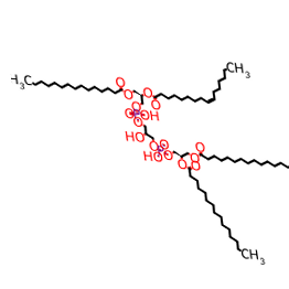 CCCCCC/C=C\CCCCCCCC(=O)O[C@H](COC(=O)CCCCCCCCCCCCCC)COP(=O)(O)OCC(O)COP(=O)(O)OC[C@@H](COC(=O)CCCCCCCCCCCCCC)OC(=O)CCCCCCCCCCCCCC